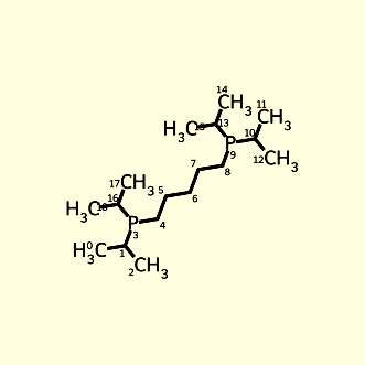 CC(C)P(CCCCCP(C(C)C)C(C)C)C(C)C